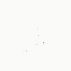 CCCC1NC1OC(C)C